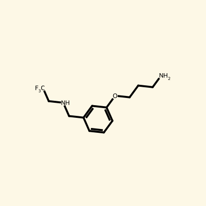 NCCCOc1cccc(CNCC(F)(F)F)c1